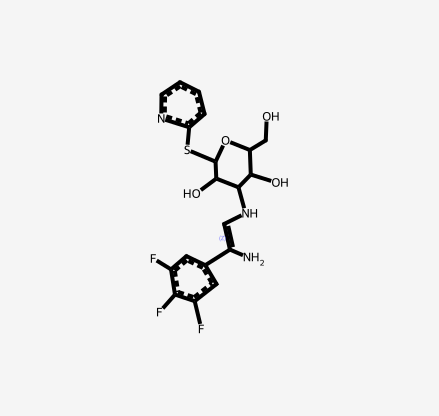 N/C(=C\NC1C(O)C(CO)OC(Sc2ccccn2)C1O)c1cc(F)c(F)c(F)c1